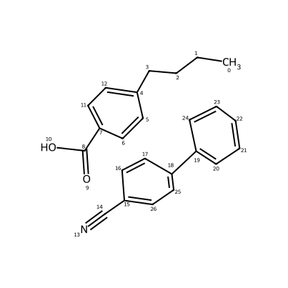 CCCCc1ccc(C(=O)O)cc1.N#Cc1ccc(-c2ccccc2)cc1